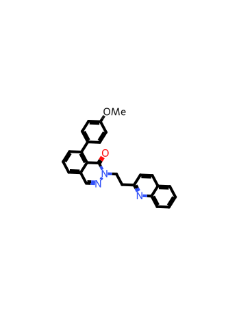 COc1ccc(-c2cccc3cnn(CCc4ccc5ccccc5n4)c(=O)c23)cc1